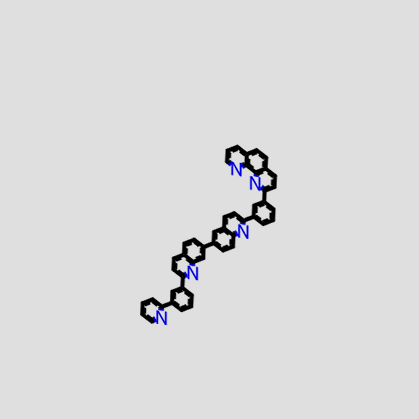 c1ccc(-c2cccc(-c3ccc4ccc(-c5ccc6nc(-c7cccc(-c8ccc9ccc%10cccnc%10c9n8)c7)ccc6c5)cc4n3)c2)nc1